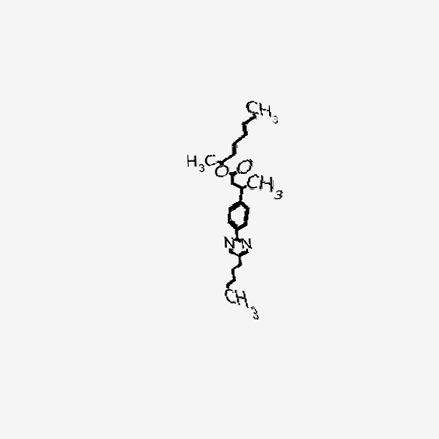 CCCCCCC(C)OC(=O)CC(C)c1ccc(-c2ncc(CCCCC)cn2)cc1